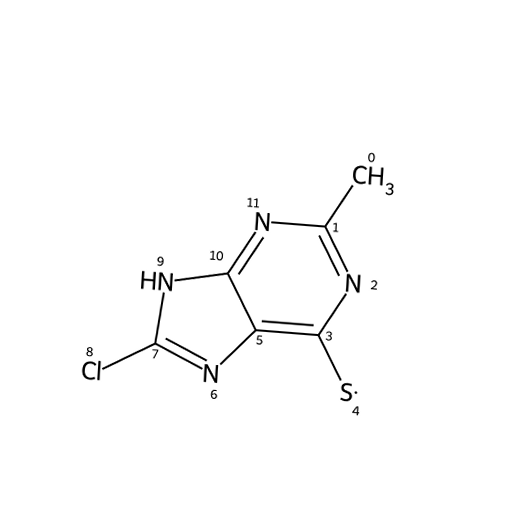 Cc1nc([S])c2nc(Cl)[nH]c2n1